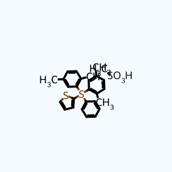 CS(=O)(=O)O.Cc1ccc(C)c(S(c2ccccc2)(c2cccs2)c2cc(C)ccc2C)c1